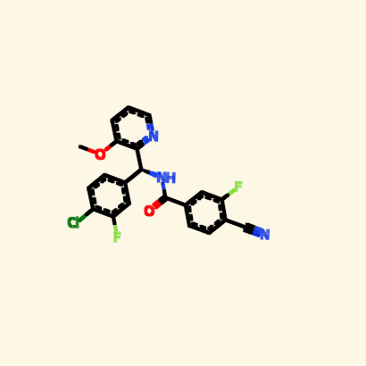 COc1cccnc1[C@@H](NC(=O)c1ccc(C#N)c(F)c1)c1ccc(Cl)c(F)c1